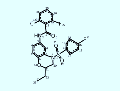 O=C(Nc1ccc2c(c1)N(S(=O)(=O)c1ccc(F)cc1)CC(CF)O2)c1c(F)cccc1Cl